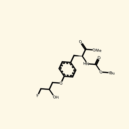 COC(=O)[C@H](Cc1ccc(OCC(O)CF)cc1)NC(=O)OC(C)(C)C